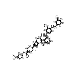 CN(C)[C@@H]1CCN(CC(=O)N2CCC(n3cc4c(n3)CCc3c-4sc4ncnc(Nc5ccc(OCc6cccc(F)c6)c(Cl)c5)c34)CC2)C1